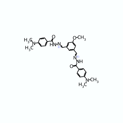 COc1cc(/C=N/NC(=O)c2ccc(N(C)C)cc2)cc(/C=N/NC(=O)c2ccc(N(C)C)cc2)c1